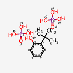 CC(C)(C)c1ccccc1O.O=P(O)(O)O.O=P(O)(O)O